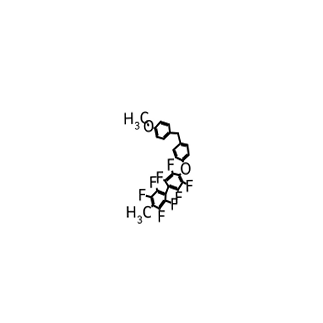 COc1ccc(Cc2ccc(Oc3c(F)c(F)c(-c4c(F)c(F)c(C)c(F)c4F)c(F)c3F)cc2)cc1